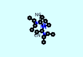 N#Cc1ccc(-c2ccccc2-c2nc(-c3cc(-c4cccc(C#N)c4)cc(-n4c5ccc(-c6ccccc6)cc5c5cc(-c6ccccc6)ccc54)c3)nc(-c3cc(-c4cccc(C#N)c4)cc(-n4c5ccc(-c6ccccc6)cc5c5cc(-c6ccccc6)ccc54)c3)n2)cc1